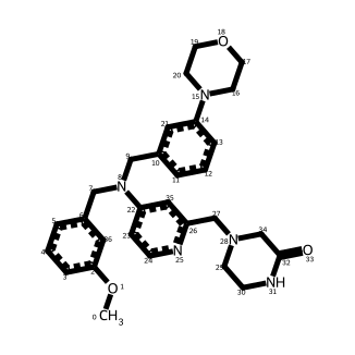 COc1cccc(CN(Cc2cccc(N3CCOCC3)c2)c2ccnc(CN3CCNC(=O)C3)c2)c1